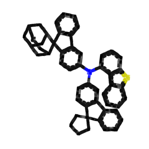 c1ccc2c(c1)-c1cc(N(c3ccc4c(c3)-c3ccccc3C43C4CCC5CC(C4)CC3C5)c3cccc4sc5ccccc5c34)ccc1C21CCCC1